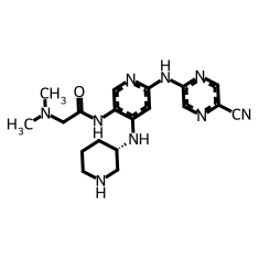 CN(C)CC(=O)Nc1cnc(Nc2cnc(C#N)cn2)cc1N[C@H]1CCCNC1